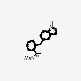 CN[C@H](C)c1ccccc1Cc1ccc2[nH]ccc2c1